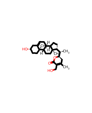 CC1=C(CO)C(=O)O[C@@H]([C@@H](C)[C@H]2CC[C@H]3[C@@H]4CC=C5C[C@@H](O)CC[C@]5(C)[C@H]4CC[C@]23C)C1